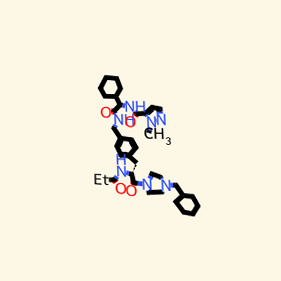 CCC(=O)N[C@H](Cc1ccc(CNC(=O)C(NC(=O)c2ccnn2C)C2CCCCC2)cc1)C(=O)N1CCN(CC2CCCCC2)CC1